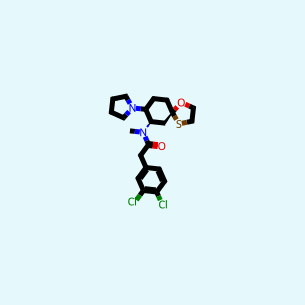 CN(C(=O)Cc1ccc(Cl)c(Cl)c1)[C@H]1C[C@@]2(CCC1N1CCCC1)OCCS2